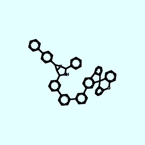 c1ccc(-c2ccc(C3C4C(c5cccc(-c6cccc(-c7cccc(-c8ccc9c(c8)C8(c%10ccccc%10Oc%10ccccc%108)c8ccccc8-9)c7)c6)c5)NC(c5ccccc5)N34)cc2)cc1